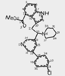 COC(=O)c1cccc2[nH]cc(CC(c3cncc(-c4ccc(Cl)cc4)c3)N3CCCCC3)c12